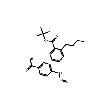 CCCCc1ccccc1C(=O)OC(C)(C)C.O=NNc1ccc(C(=O)O)cc1